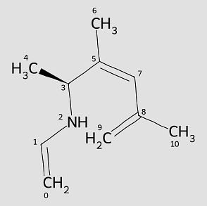 C=CN[C@@H](C)/C(C)=C\C(=C)C